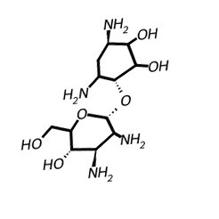 NC1C[C@@H](N)C(O)C(O)[C@@H]1O[C@H]1OC(CO)[C@@H](O)[C@H](N)C1N